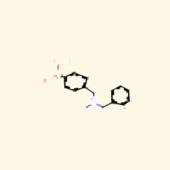 CN(Cc1ccccc1)Cc1ccc(B(O)O)cc1